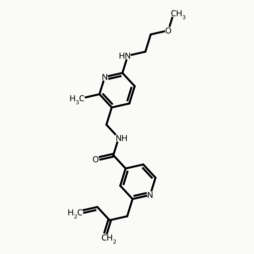 C=CC(=C)Cc1cc(C(=O)NCc2ccc(NCCOC)nc2C)ccn1